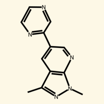 Cc1nn(C)c2ncc(-c3cnccn3)cc12